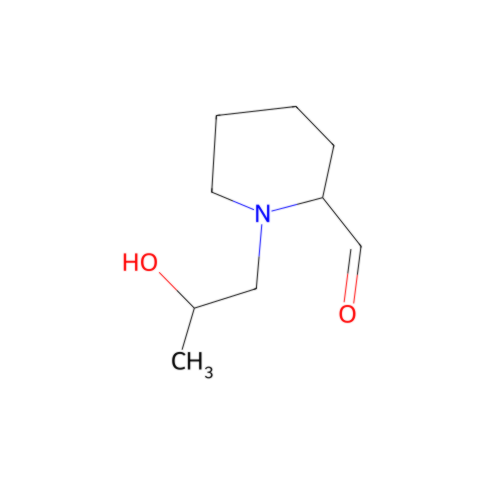 CC(O)CN1CCCCC1C=O